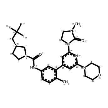 Cc1ccc(NC(=O)N2CC[C@@H](CC(F)(F)F)C2)cc1-c1cc(N2CCOCC2)nc(N2CCN(C)C2=O)c1